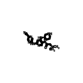 CN(C)CC(=O)Nc1cnc(Nc2cnc(C#N)cn2)cc1N[C@@H]1CCCNC1